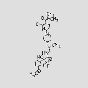 COc1cccc(C(O)(C(=O)NC[C@H](C)CC2CCN(c3ccc(C(=O)N(C)C)c(Cl)n3)CC2)C(F)(F)F)c1